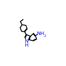 CCC1CC=C(c2c[nH]c3ccc(N)cc23)CC1